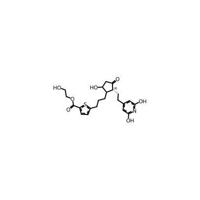 O=C(OCCO)c1ccc(CCCC2C(O)CC(=O)[C@@H]2CCc2cc(O)nc(O)c2)s1